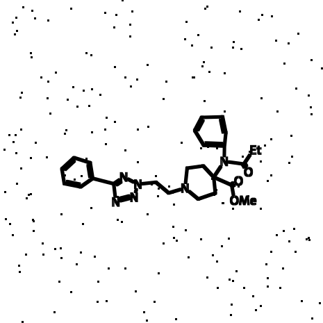 CCC(=O)N(c1ccccc1)C1(C(=O)OC)CCN(CCn2nnc(-c3ccccc3)n2)CC1